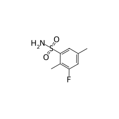 Cc1cc(F)c(C)c(S(N)(=O)=O)c1